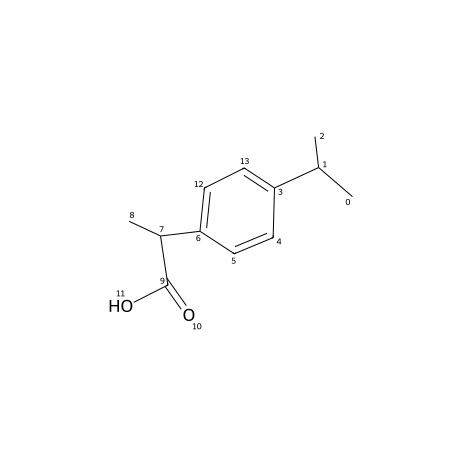 CC(C)c1ccc(C(C)C(=O)O)cc1